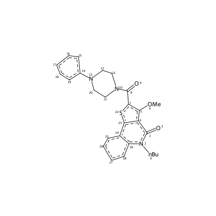 CCCCn1c(=O)c2c(OC)c(C(=O)N3CCN(c4ccccc4)CC3)sc2c2ccccc21